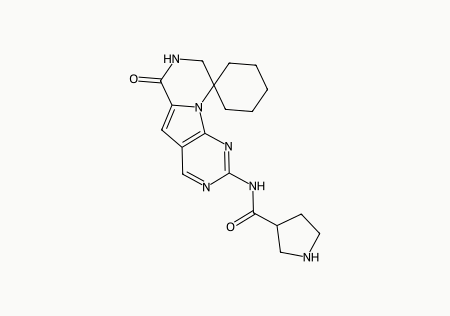 O=C1NCC2(CCCCC2)n2c1cc1cnc(NC(=O)C3CCNC3)nc12